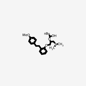 CCCCC(O)OC(COc1ccccc1CCc1ccc(OC)cc1)CN(C)C